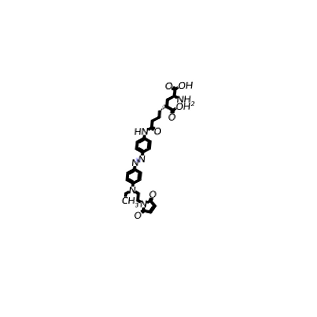 CCN(CCN1C(=O)C=CC1=O)c1ccc(/N=N/c2ccc(NC(=O)CCC[C@H](CC(N)C(=O)O)C(=O)O)cc2)cc1